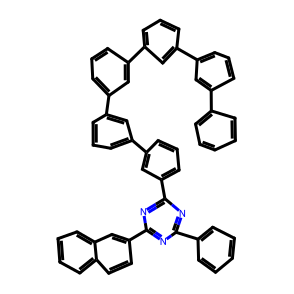 c1ccc(-c2cccc(-c3cccc(-c4cccc(-c5cccc(-c6cccc(-c7nc(-c8ccccc8)nc(-c8ccc9ccccc9c8)n7)c6)c5)c4)c3)c2)cc1